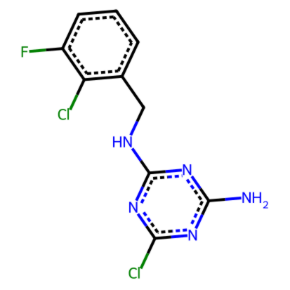 Nc1nc(Cl)nc(NCc2cccc(F)c2Cl)n1